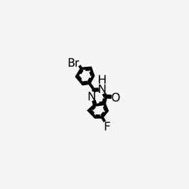 O=c1[nH]c(-c2ccc(Br)cc2)nc2ccc(F)cc12